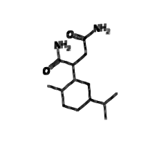 CC(C)C1CCC(C)C(C(CC(N)=O)C(N)=O)C1